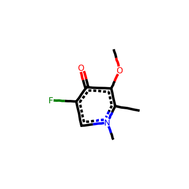 COc1c(C)n(C)cc(F)c1=O